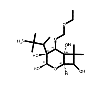 CCOCO[C@@H]1[C@@](O)(C(C)C(C)(C)[SiH3])[C@H](O)O[C@@H]2C(O)C(C)(C)[C@@]21O